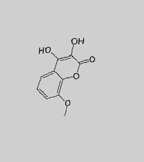 COc1cccc2c(O)c(O)c(=O)oc12